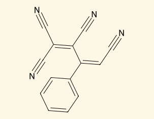 N#CC=C(C(C#N)=C(C#N)C#N)c1ccccc1